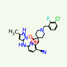 Cc1cc(Nc2ccc(C#N)c(CC3(C(=O)O)CCN(Cc4cccc(Cl)c4F)CC3)n2)n[nH]1